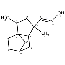 CC1CC(C)(/C=N/O)C2CC3CCC12C3